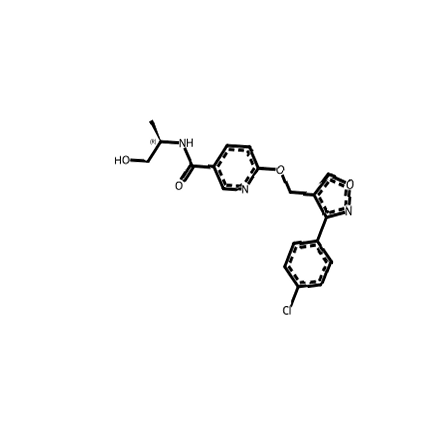 C[C@H](CO)NC(=O)c1ccc(OCc2conc2-c2ccc(Cl)cc2)nc1